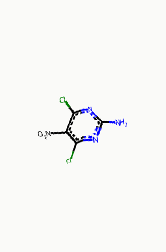 Nc1nc(Cl)c([N+](=O)[O-])c(Cl)n1